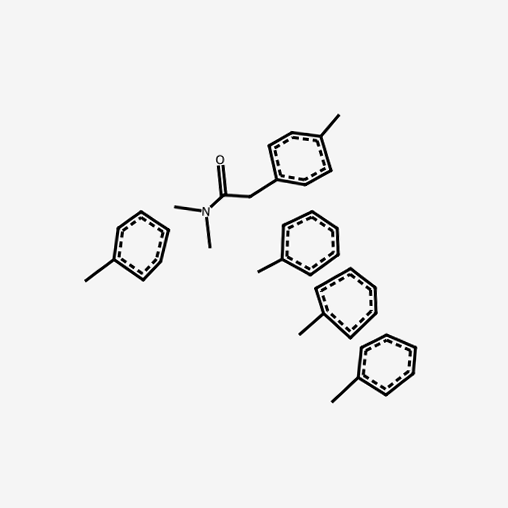 Cc1ccc(CC(=O)N(C)C)cc1.Cc1ccccc1.Cc1ccccc1.Cc1ccccc1.Cc1ccccc1